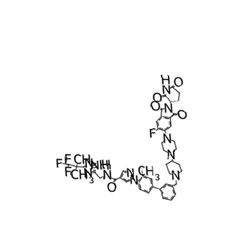 Cc1cc(-c2cccc(CN3CCC(N4CCN(c5cc6c(cc5F)C(=O)N(C5CCC(=O)NC5=O)C6=O)CC4)CC3)c2)ccc1-n1cc(C(=O)NCc2nc(C(C)(C)C(F)(F)F)n[nH]2)cn1